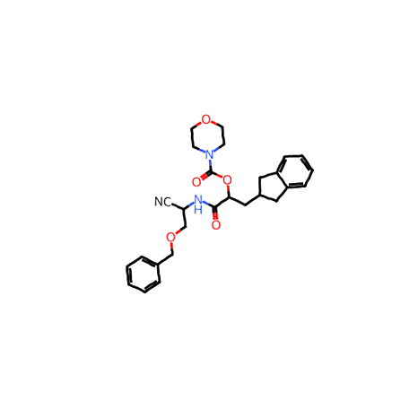 N#CC(COCc1ccccc1)NC(=O)C(CC1Cc2ccccc2C1)OC(=O)N1CCOCC1